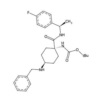 C[C@@H](NC(=O)[C@]1(NC(=O)OC(C)(C)C)CC[C@H](NCc2ccccc2)CC1)c1ccc(F)cc1